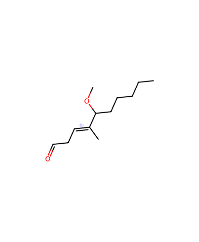 CCCCCC(OC)/C(C)=C/CC=O